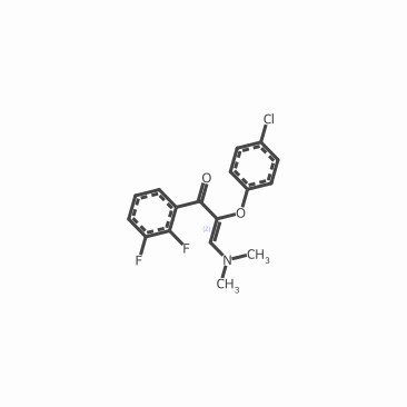 CN(C)/C=C(\Oc1ccc(Cl)cc1)C(=O)c1cccc(F)c1F